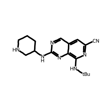 CC(C)(C)Nc1nc(C#N)cc2cnc(NC3CCCNC3)nc12